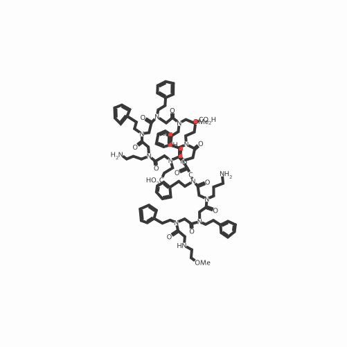 COCCNCC(=O)N(CCc1ccccc1)CC(=O)N(CCc1ccccc1)CC(=O)N(CCCN)CC(=O)N(CCc1ccccc1)CC(=O)N(CCc1ccccc1)CC(=O)N(CCOC)CC(=O)N(CCC(=O)O)CC(=O)N(CCCN)CC(=O)N(CCc1ccccc1)CC(=O)N(CCc1ccccc1)CC(=O)N(CCC(=O)O)CC(N)=O